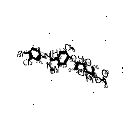 COc1cc2c(Nc3ccc(Br)c(Cl)c3)ncnc2cc1O[C@H]1CO[C@H]2[C@@H]1OC[C@@H]2OC(C)=O